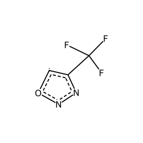 FC(F)(F)c1[c]onn1